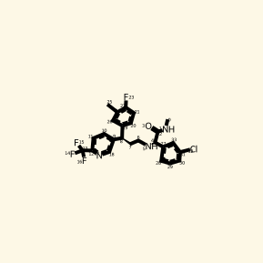 CNC(=O)[C@@H](NCC[C@@H](c1ccc(C(F)(F)F)nc1)c1ccc(F)c(C)c1)c1cccc(Cl)c1